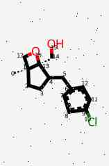 C[C@@]12CCC(Cc3ccc(Cl)cc3)[C@]1(CO)OC2